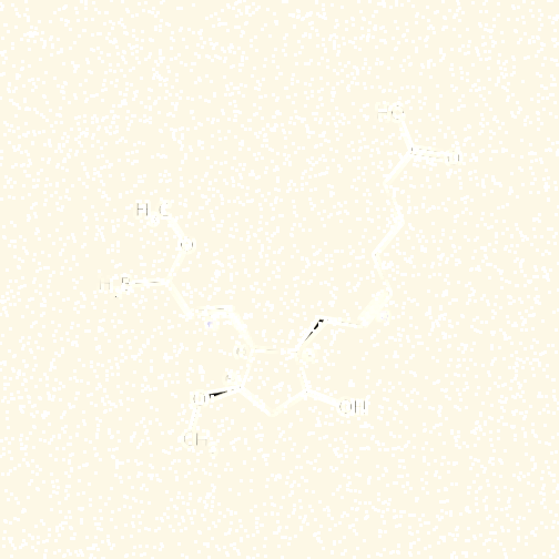 BC(/C=C/[C@H]1[C@H](OC)CC(O)[C@@H]1C/C=C\CCCC(=O)O)OC